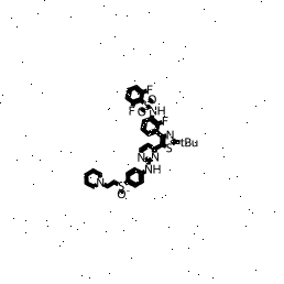 CC(C)(C)c1nc(-c2cccc(NS(=O)(=O)c3c(F)cccc3F)c2F)c(-c2ccnc(Nc3ccc([S+]([O-])CCN4CCCCC4)cc3)n2)s1